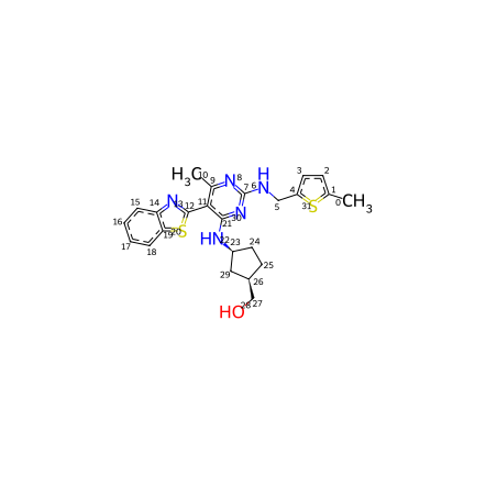 Cc1ccc(CNc2nc(C)c(-c3nc4ccccc4s3)c(N[C@H]3CC[C@@H](CO)C3)n2)s1